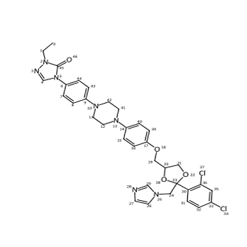 CCn1ncn(-c2ccc(N3CCN(c4ccc(OCC5COC(Cn6ccnc6)(c6ccc(Cl)cc6Cl)O5)cc4)CC3)cc2)c1=O